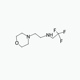 FC(F)(F)CNCCN1CCOCC1